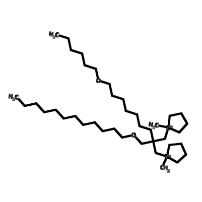 CCCCCCCCCCCCOCC(CCCCCCCOCCCCCC)(C[N+]1(C)CCCC1)C[N+]1(C)CCCC1